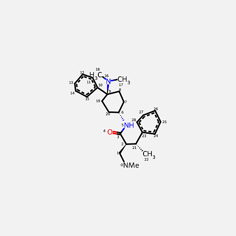 CNC[C@@H](C(=O)N[C@H]1CC[C@](c2ccccc2)(N(C)C)CC1)[C@@H](C)c1ccccc1